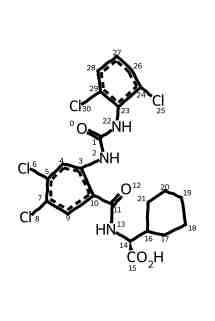 O=C(Nc1cc(Cl)c(Cl)cc1C(=O)N[C@H](C(=O)O)C1CCCCC1)Nc1c(Cl)cccc1Cl